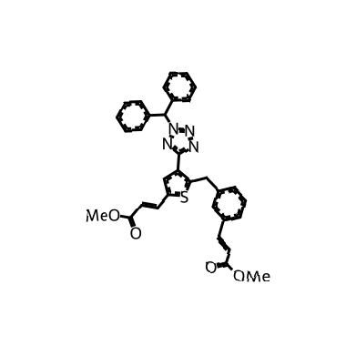 COC(=O)C=Cc1cccc(Cc2sc(C=CC(=O)OC)cc2-c2nnn(C(c3ccccc3)c3ccccc3)n2)c1